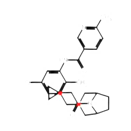 Cc1ccc(C(=O)Nc2cc(Cl)cc(CN3CC4CCC(C3)N4C(=O)CC3CC3)c2C)cn1